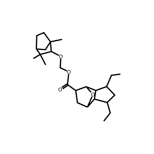 CCC1CC(CC)C2C3OC(CC3C(=O)OCOC3C4(C)CCC(C4)C3(C)C)C12